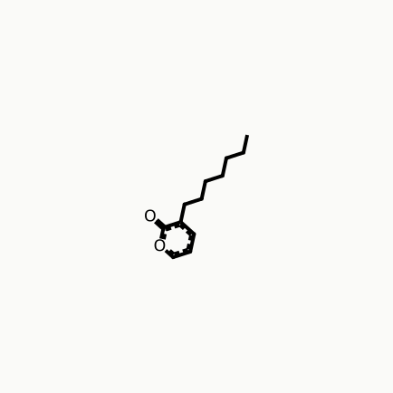 CCCCCCCc1cccoc1=O